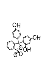 O=S1(=O)OC(c2ccc(O)cc2)(c2ccc(O)cc2O)c2ccccc21